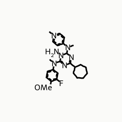 COc1ccc(N(C)C2=NC(C3CCCCCC3)=NC(N(C)c3cc[n+](C)cc3)N2N)cc1F